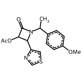 COc1ccc(C(C)N2C(=O)C(OC(C)=O)C2c2cscn2)cc1